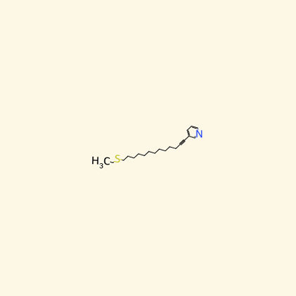 CCSCCCCCCCCCCCC#Cc1cccnc1